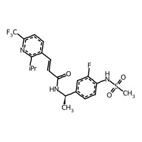 CC(C)c1nc(C(F)(F)F)ccc1/C=C/C(=O)N[C@H](C)c1ccc(NS(C)(=O)=O)c(F)c1